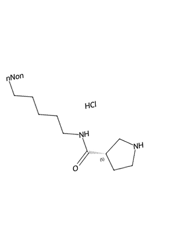 CCCCCCCCCCCCCCNC(=O)[C@H]1CCNC1.Cl